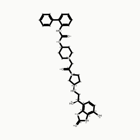 O=C(Nc1ccccc1-c1ccccc1)OC1CCN(CC(=O)N2CC[C@@H](NC[C@H](O)c3ccc(O)c4[nH]c(=O)sc34)C2)CC1